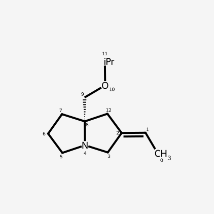 C/C=C1\CN2CCC[C@@]2(COC(C)C)C1